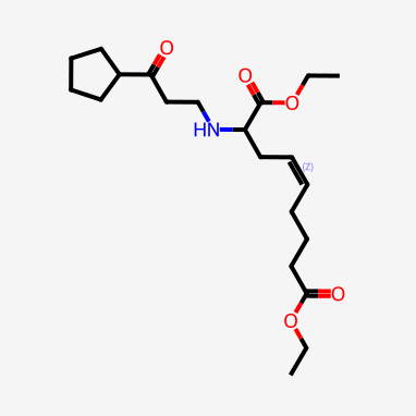 CCOC(=O)CCC/C=C\CC(NCCC(=O)C1CCCC1)C(=O)OCC